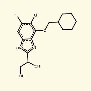 OCC(O)c1nc2c(OCC3CCCCC3)c(Cl)c(Cl)cc2[nH]1